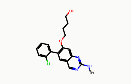 CC(C)Nc1ncc2cc(-c3ccccc3Cl)c(OCCCCO)cc2n1